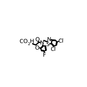 O=C(O)CC1Oc2cc(F)ccc2N(Cc2nc3cc(Cl)cc(Cl)c3s2)C1=O